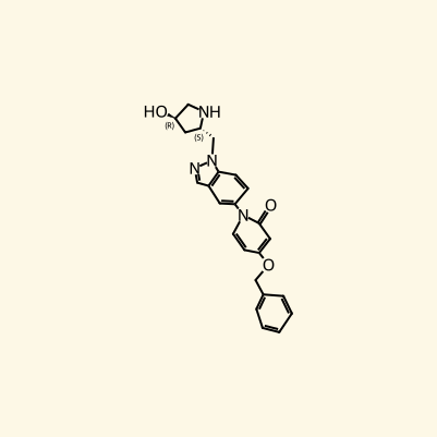 O=c1cc(OCc2ccccc2)ccn1-c1ccc2c(cnn2C[C@@H]2C[C@@H](O)CN2)c1